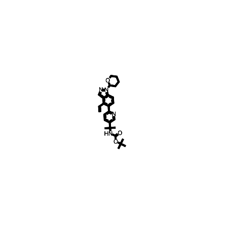 C=Cc1c(-c2ccc(C(C)(C)NC(=O)OC(C)(C)C)cn2)ccc2c1cnn2C1CCCCO1